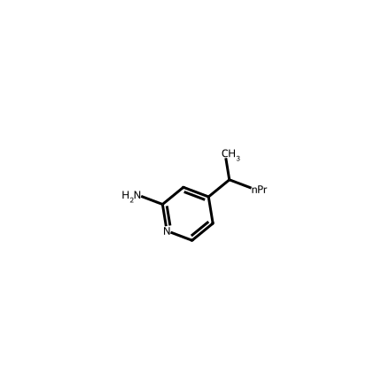 CCCC(C)c1ccnc(N)c1